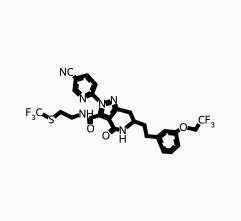 N#Cc1ccc(-n2nc3c(c2C(=O)NCCSC(F)(F)F)C(=O)NC(CCc2cccc(OCC(F)(F)F)c2)C3)nc1